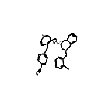 Cc1ccccc1CN1Cc2ccccc2C[C@H](NCc2cnccc2Cc2ccc(C#N)cc2)C1